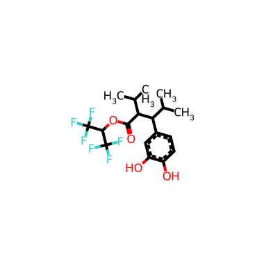 CC(C)C(C(=O)OC(C(F)(F)F)C(F)(F)F)C(c1ccc(O)c(O)c1)C(C)C